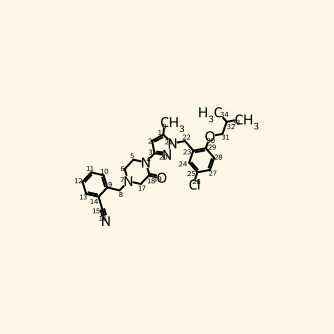 Cc1cc(N2CCN(Cc3ccccc3C#N)CC2=O)nn1Cc1cc(Cl)ccc1OCC(C)C